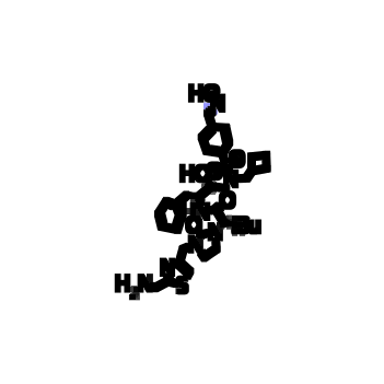 CC[C@H](C)[C@@H](C(=O)N[C@@H](Cc1ccccc1)[C@H](O)CN(CC1CCC1)S(=O)(=O)c1ccc(/C=N/O)cc1)N1CCN(Cc2csc(CN)n2)C1=O